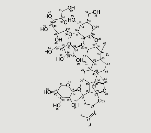 CC(C)=CC1CC(C)(O[C@@H]2OC[C@H](O)[C@@H](O)C2O)C2C3CCC4[C@@]5(C)CC[C@H](O[C@@H]6OC(CO)[C@@H](O)[C@@H](O[C@@H]7OC(CO)[C@@H](O)[C@@H](O)C7O)C6O[C@@H]6O[C@@H](CO)[C@@H](O)C6O)C(C)(C)C5CC[C@@]4(C)[C@@]34CO[C@@]2(C4)O1